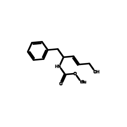 CC(C)(C)OC(=O)NC(C=CCO)Cc1ccccc1